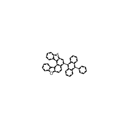 c1ccc(-c2c3ccccc3c(-c3cc4sc5ccccc5c4c4c3ccc3oc5ccccc5c34)c3ccccc23)cc1